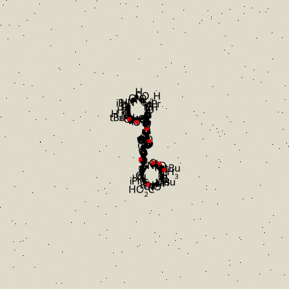 CC[C@H](C)[C@@H]1NC(=O)[C@H](CC(=O)O)NC(=O)C[C@H](CC(C)C)NC(=O)c2ccc(-c3ccc(N4CCN(C(=O)c5ccccc5-c5ccccc5C(=O)N5CCN(c6ccc(-c7ccc8cc7CNC(=O)[C@@H]7CCCN7[C@H](C(=O)NC(C)(C)C)[C@@H](C)NC(=O)[C@H]([C@@H](C)CC)NC(=O)[C@H](CC(=O)O)NC(=O)C[C@H](CC(C)C)NC8=O)cc6)CC5)CC4)cc3)c(c2)CNC(=O)[C@@H]2CCCN2[C@H](C(=O)NC(C)(C)C)[C@@H](C)NC1=O